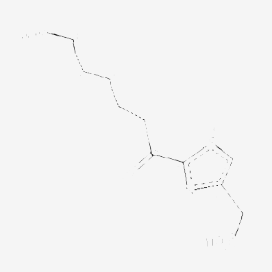 CCCCCCCCCCCCCCCC(=O)c1nc(CC(=O)O)cs1